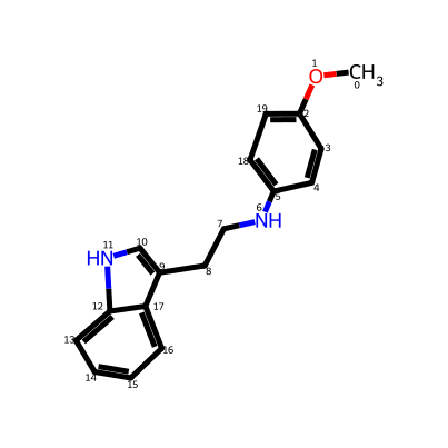 COc1ccc(NCCc2c[nH]c3ccccc23)cc1